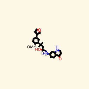 COc1ccc(-c2ccoc2)cc1C(C)(C)CC(O)(CNc1ccc2c(=O)cc[nH]c2c1)C(F)(F)F